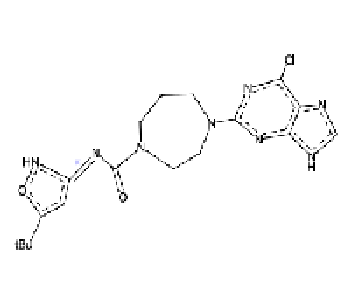 CC(C)(C)c1c/c(=N\C(=O)N2CCCN(c3nc(Cl)c4nc[nH]c4n3)CC2)[nH]o1